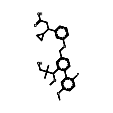 COc1ccc(F)c(-c2ccc(COc3cccc(C(CC(=O)O)C4CC4)c3)cc2C(OC)C(C)(C)CO)c1